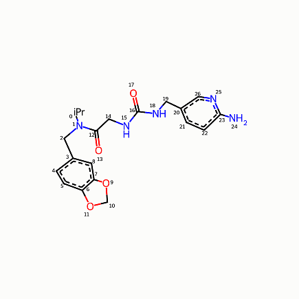 CC(C)N(Cc1ccc2c(c1)OCO2)C(=O)CNC(=O)NCc1ccc(N)nc1